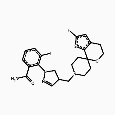 NC(=O)c1cccc(F)c1N1CC(CN2CCC3(CC2)OCCc2cc(F)sc23)C=N1